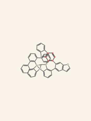 C1=CCCC(c2cccc(-c3ccccc3)c2[N+]23c4ccccc4[N+]24c2cccc5c2[N+]2(C6c7c(c8ccccc8n7-c7cccc[n+]72)C=CC6c2cc6occc6cc2-5)C43)=C1